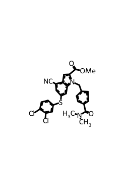 COC(=O)c1cc2c(C#N)cc(Sc3ccc(Cl)c(Cl)c3)cc2n1Cc1ccc(C(=O)N(C)C)cc1